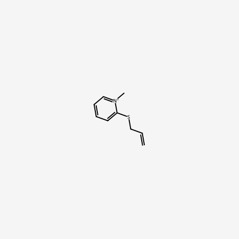 C=CCSc1cccc[n+]1C